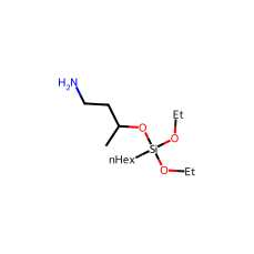 CCCCCC[Si](OCC)(OCC)OC(C)CCN